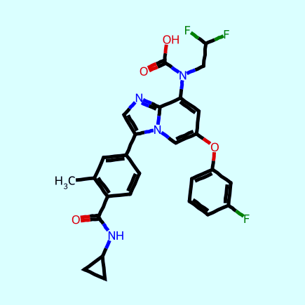 Cc1cc(-c2cnc3c(N(CC(F)F)C(=O)O)cc(Oc4cccc(F)c4)cn23)ccc1C(=O)NC1CC1